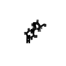 Cc1csc(N2CCNCC2)c1